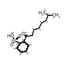 CC(C)CCCCCC(=O)c1ccccc1S(=O)(=O)O